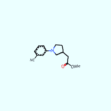 COC(=O)CC1CCN(c2cccc(C#N)c2)C1